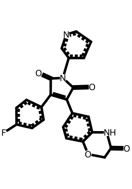 O=C1COc2ccc(C3=C(c4ccc(F)cc4)C(=O)N(c4cccnc4)C3=O)cc2N1